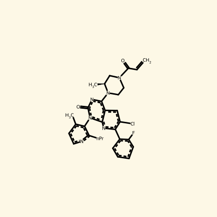 C=CC(=O)N1CCN(c2nc(=O)n(-c3c(C)ccnc3CCC)c3nc(-c4ccccc4F)c(Cl)cc23)[C@@H](C)C1